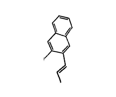 CC=Cc1cc2ccccc2cc1I